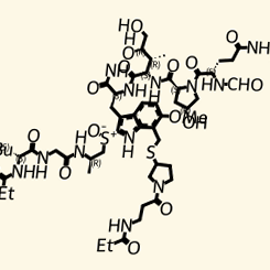 CCC(=O)NCCC(=O)N1CCC(SCc2c(OC)ccc3c(C[C@H](NC(=O)[C@@H](NC(=O)[C@@H]4C[C@@H](O)CN4C(=O)[C@H](CCC(N)=O)NC=O)[C@@H](C)[C@@H](O)CO)C(N)=O)c([S+]([O-])C[C@@H](C)NC(=O)CNC(=O)[C@@H](NC(=O)CC)[C@@H](C)CC)[nH]c23)C1